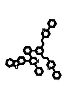 c1ccc(-c2ccc(CCc3cc(CCc4ccc(-c5ccccc5)nc4)cc(-c4ccccc4-c4cnc(-c5ccccc5)cc4-c4ccc5c(c4)oc4ccccc45)c3)cn2)cc1